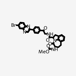 COC(=O)N[C@H]1CCc2cccc3c2N(C1=O)C(C(=O)NCC(=O)c1ccc(-c2cnc4cc(Br)ccc4n2)cc1)C3